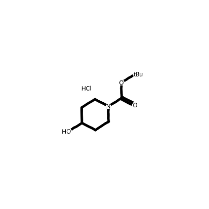 CC(C)(C)OC(=O)N1CCC(O)CC1.Cl